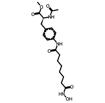 COC(=O)[C@H](Cc1ccc(NC(=O)CCCCCCC(=O)NO)cc1)NC(C)=O